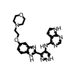 c1nc(Nc2c[nH]nc2-c2nc3cc(OCCN4CCOCC4)ccc3[nH]2)c2cc[nH]c2n1